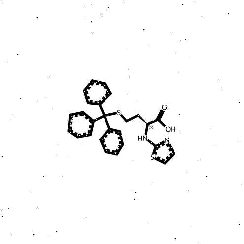 O=C(O)[C@H](CCSC(c1ccccc1)(c1ccccc1)c1ccccc1)Nc1nccs1